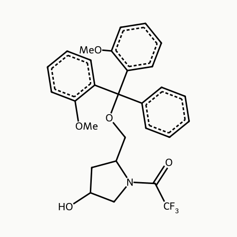 COc1ccccc1C(OCC1CC(O)CN1C(=O)C(F)(F)F)(c1ccccc1)c1ccccc1OC